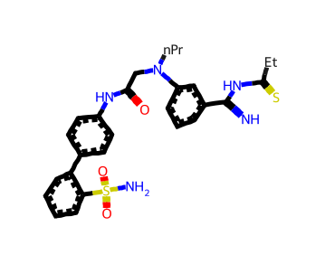 CCCN(CC(=O)Nc1ccc(-c2ccccc2S(N)(=O)=O)cc1)c1cccc(C(=N)NC(=S)CC)c1